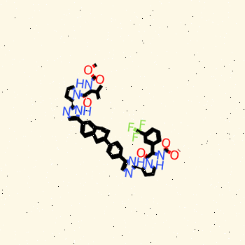 COC(=O)NC(C(=O)N1CCC[C@H]1c1ncc(-c2ccc(-c3ccc4cc(-c5cnc([C@@H]6CCCN6C(=O)[C@@H](NC(=O)OC)C(C)C)[nH]5)ccc4c3)cc2)[nH]1)c1cccc(C(F)(F)F)c1